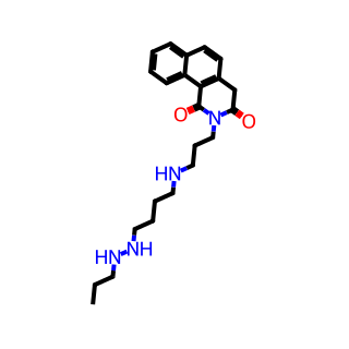 CCCNNCCCCNCCCN1C(=O)Cc2ccc3ccccc3c2C1=O